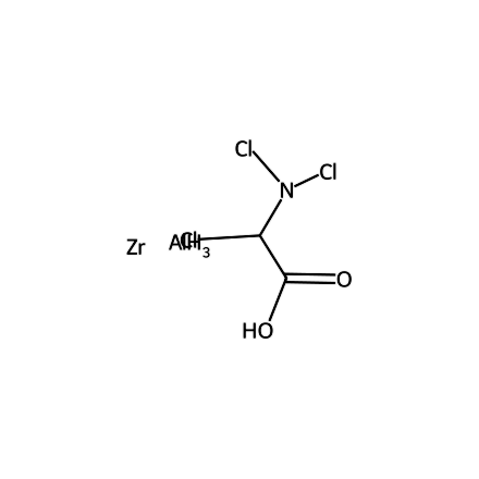 O=C(O)C(Cl)N(Cl)Cl.[AlH3].[Zr]